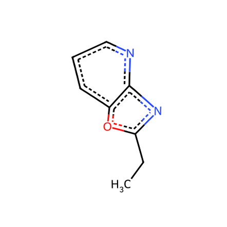 CCc1nc2ncccc2o1